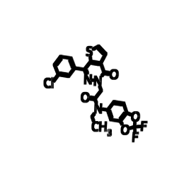 CCN(C(=O)Cn1nc(-c2cccc(Cl)c2)c2sccc2c1=O)c1ccc2c(c1)OC(F)(F)O2